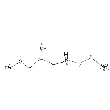 CCCOCC(O)CNCCN